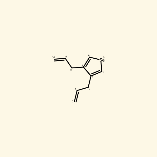 C=CCc1c[se]cc1CC=C